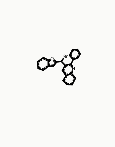 BrC(c1cc2ccccc2o1)c1cc2ccccc2nc1-c1ccccc1